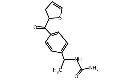 CC(NC(N)=O)c1ccc(C(=O)C2CC=CS2)cc1